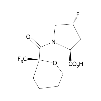 O=C(O)[C@@H]1C[C@@H](F)CN1C(=O)[C@@]1(C(F)(F)F)CCCCO1